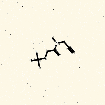 C#CCN(C)C(=C)CCC(C)(C)C